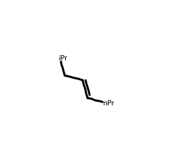 CCCC=CCC(C)C